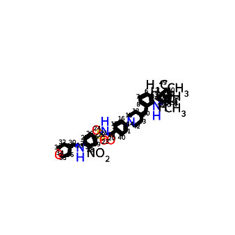 C[C@H]1[C@@H](Nc2ccccc2C=C2CCN(c3ccc(C(=O)NS(=O)(=O)c4ccc(NCC5CCOCC5)c([N+](=O)[O-])c4)cc3)CC2)C[C@@H]2C[C@@H]1C2(C)C